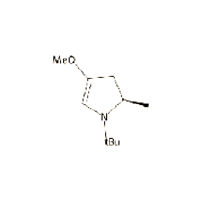 COC1=CN(C(C)(C)C)[C@H](C)C1